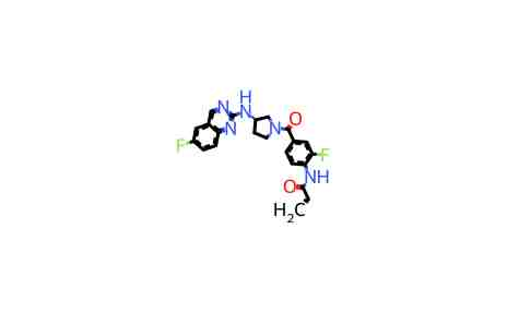 C=CC(=O)Nc1ccc(C(=O)N2CC[C@@H](Nc3ncc4cc(F)ccc4n3)C2)cc1F